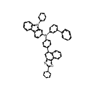 c1ccc(-c2cccc(N(c3ccc(-c4cc5nc(-c6ccccc6)oc5c5ccccc45)cc3)c3ccc4c5ccccc5n(-c5ccccc5)c4c3)c2)cc1